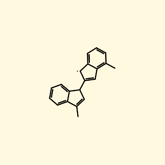 CC1=CC(C2=Cc3c(C)cccc3[CH]2)c2ccccc21